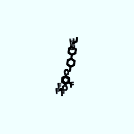 CCC[SiH]1CCC(C2CCC(COc3ccc(OC(F)(F)F)c(F)c3)CC2)CC1